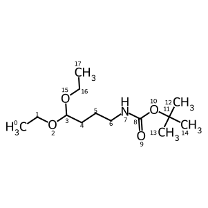 CCOC(CCCNC(=O)OC(C)(C)C)OCC